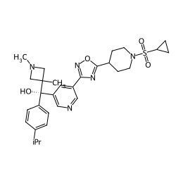 CC(C)c1ccc([C@](O)(c2cncc(-c3noc(C4CCN(S(=O)(=O)C5CC5)CC4)n3)c2)C2(C)CN(C)C2)cc1